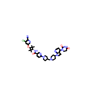 CC1(C)[C@H](NC(=O)c2ccc(N3CCC(CN4CCC(n5ccc6c(N7CCC(=O)NC7=O)ccnc65)CC4)CC3)nc2)C(C)(C)[C@H]1Oc1cnc(C#N)c(Cl)c1